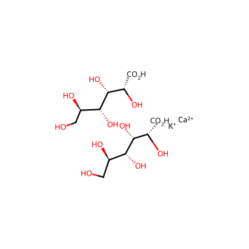 O=C(O)[C@H](O)[C@@H](O)[C@H](O)[C@H](O)CO.O=C(O)[C@H](O)[C@@H](O)[C@H](O)[C@H](O)CO.[Ca+2].[K+]